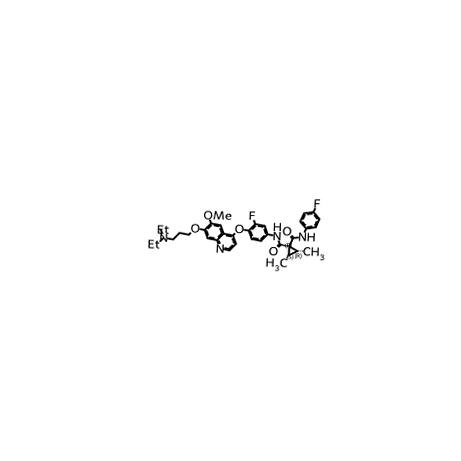 CCN(CC)CCCOc1cc2nccc(Oc3ccc(NC(=O)[C@@]4(C(=O)Nc5ccc(F)cc5)[C@H](C)[C@@H]4C)cc3F)c2cc1OC